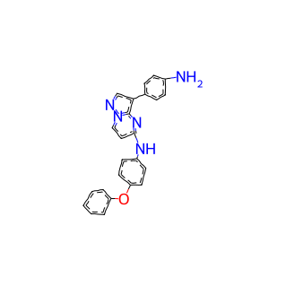 Nc1ccc(-c2cnn3ccc(Nc4ccc(Oc5ccccc5)cc4)nc23)cc1